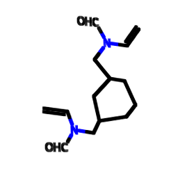 C=CN(C=O)CC1CCCC(CN(C=C)C=O)C1